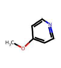 COc1c[c]n[c]c1